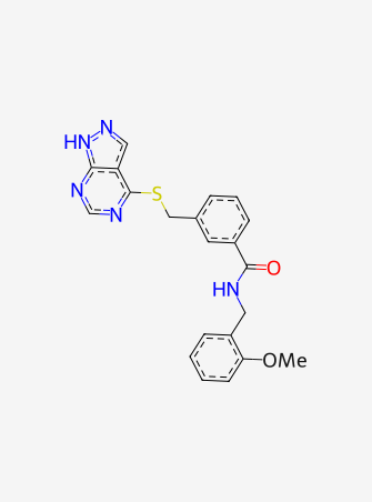 COc1ccccc1CNC(=O)c1cccc(CSc2ncnc3[nH]ncc23)c1